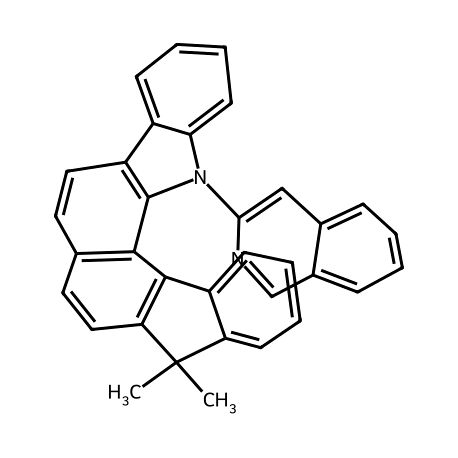 CC1(C)c2ccccc2-c2c1ccc1ccc3c4ccccc4n(-c4cc5ccccc5cn4)c3c21